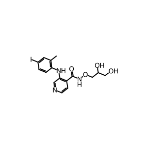 Cc1cc(I)ccc1Nc1cnccc1C(=O)NOCC(O)CO